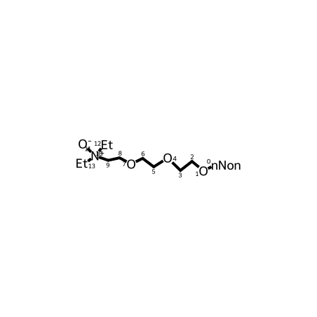 CCCCCCCCCOCCOCCOCC[N+]([O-])(CC)CC